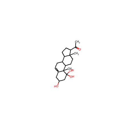 CC(=O)C1CCC2C3CC=C4CC(O)CC(O)(O)C4(C)C3CCC12C